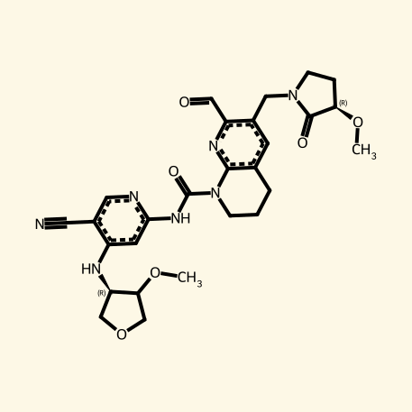 COC1COC[C@H]1Nc1cc(NC(=O)N2CCCc3cc(CN4CC[C@@H](OC)C4=O)c(C=O)nc32)ncc1C#N